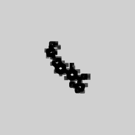 Cn1ccc(N2Cc3ccc(-c4ccc(C(O)N5CCOC5=O)cc4F)cc3C2)n1